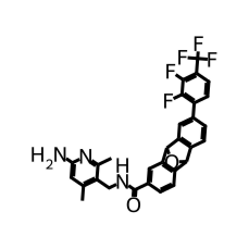 Cc1cc(N)nc(C)c1CNC(=O)c1ccc2c(c1)C1OC2c2ccc(-c3ccc(C(F)(F)F)c(F)c3F)cc21